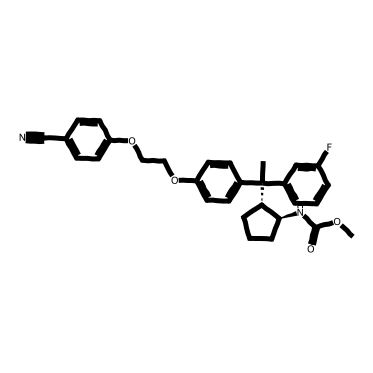 COC(=O)N[C@H]1CCC[C@@H]1C(C)(c1ccc(OCCOc2ccc(C#N)cc2)cc1)c1cccc(F)c1